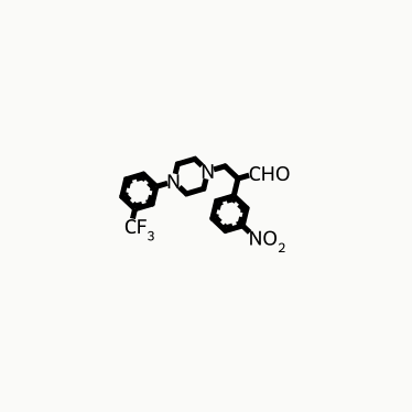 O=CC(CN1CCN(c2cccc(C(F)(F)F)c2)CC1)c1cccc([N+](=O)[O-])c1